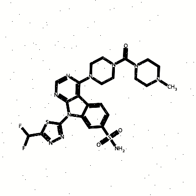 CN1CCN(C(=O)N2CCN(c3ncnc4c3c3ccc(S(N)(=O)=O)cc3n4-c3nnc(C(F)F)s3)CC2)CC1